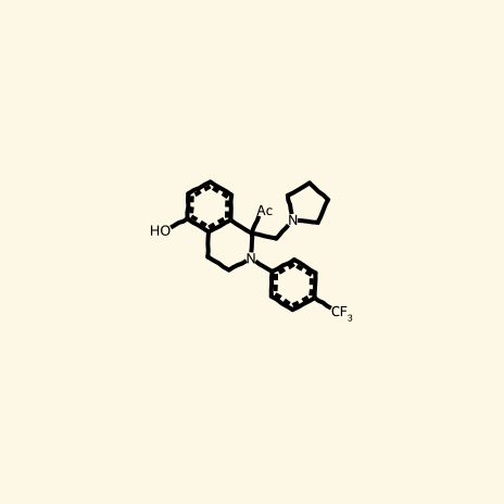 CC(=O)C1(CN2CCCC2)c2cccc(O)c2CCN1c1ccc(C(F)(F)F)cc1